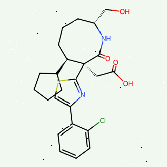 O=C(O)C[C@@]1(c2nc(-c3ccccc3Cl)cs2)C(=O)N[C@@H](CO)CCC[C@@H]1C1CCCC1